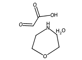 C1COCCN1.O.O=CC(=O)O